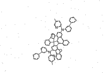 Cc1ccc(N(c2cccc(-c3ccccc3)c2)c2ccc3c4c(c5ccccc5c3c2)-c2c(cc(N(c3cccc(-c5ccccc5)c3)c3ccc(C)cn3)c3c2oc2ccccc23)C42c3ccccc3-c3ccccc32)nc1